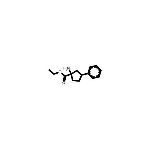 CCOC(=O)C1(N)CCC(c2ccccc2)C1